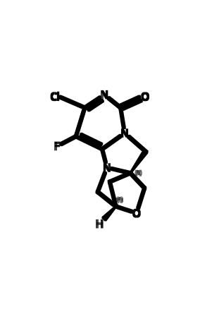 O=c1nc(Cl)c(F)c2n1C[C@]13CO[C@H](CN21)C3